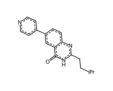 CC(C)CCc1nc2ccc(-c3ccncc3)cc2c(=O)[nH]1